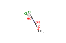 CCOC(=O)CCC[C@H](O)/C=C/C=C/[C@H](O)Cc1ccc(Cl)c(Cl)c1